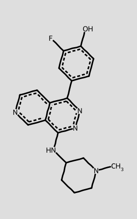 CN1CCCC(Nc2nnc(-c3ccc(O)c(F)c3)c3ccncc23)C1